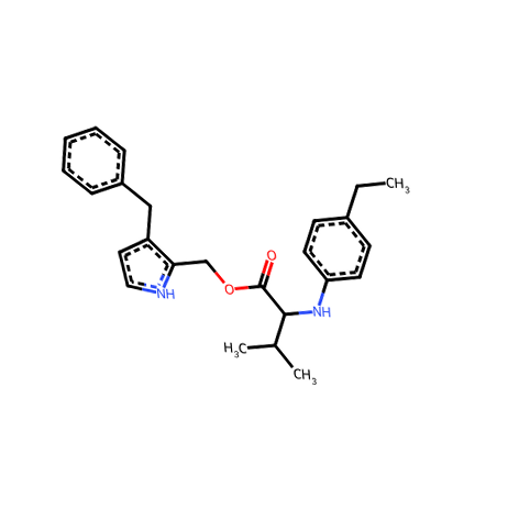 CCc1ccc(NC(C(=O)OCc2[nH]ccc2Cc2ccccc2)C(C)C)cc1